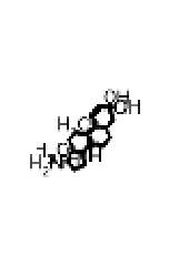 C[C@]12CC=C3[C@@H](CCC4CC(O)(O)C=C[C@]34C)[C@@H]1CC[C@@H]2N